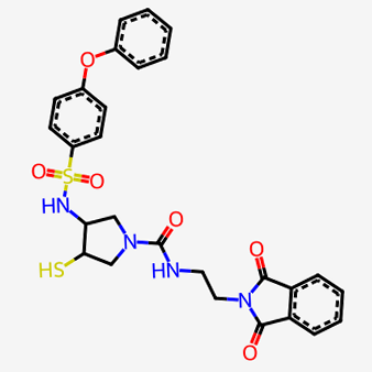 O=C(NCCN1C(=O)c2ccccc2C1=O)N1CC(S)C(NS(=O)(=O)c2ccc(Oc3ccccc3)cc2)C1